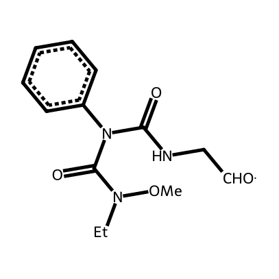 CCN(OC)C(=O)N(C(=O)NC[C]=O)c1ccccc1